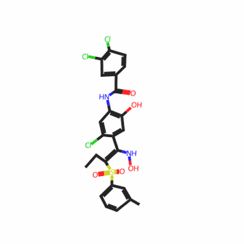 CC/C(=C(/NO)c1cc(O)c(NC(=O)c2ccc(Cl)c(Cl)c2)cc1Cl)S(=O)(=O)c1cccc(C)c1